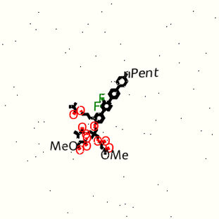 C=C(C)C(=O)OCCCc1cc(-c2ccc(-c3ccc(C4CCC(CCCCC)CC4)cc3)c(F)c2F)ccc1OCC(COC(=O)CC(=O)OC)(COC(=O)CC(=O)OC)COC(=O)C(=C)C